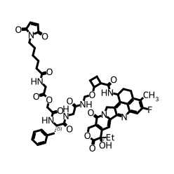 CC[C@@]1(O)C(=O)OCc2c1cc1n(c2=O)Cc2c-1nc1cc(F)c(C)c3c1c2C(NC(=O)C1CCC1OCNC(=O)CNC(=O)[C@H](Cc1ccccc1)NC(=O)COC(=O)CNC(=O)CCCCCN1C(=O)C=CC1=O)CC3